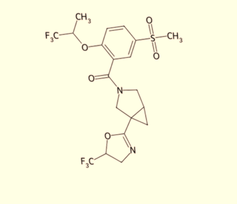 CC(Oc1ccc(S(C)(=O)=O)cc1C(=O)N1CC2CC2(C2=NCC(C(F)(F)F)O2)C1)C(F)(F)F